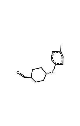 Cc1ccc(O[C@H]2CC[C@H](C=O)CC2)cc1